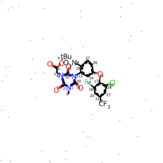 Cn1c(=O)n(CC(=O)OC(C)(C)C)c(=O)n(-c2cc(Oc3c(F)cc(C(F)(F)F)cc3Cl)ccc2[N+](=O)[O-])c1=O